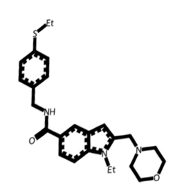 CCSc1ccc(CNC(=O)c2ccc3c(c2)cc(CN2CCOCC2)n3CC)cc1